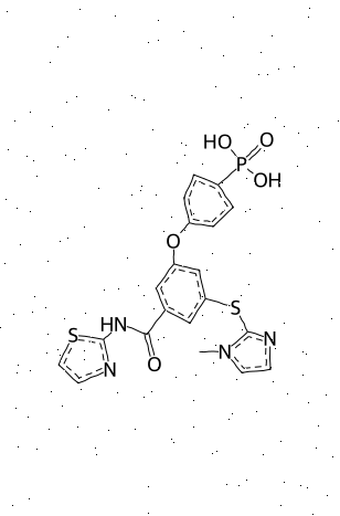 Cn1ccnc1Sc1cc(Oc2ccc(P(=O)(O)O)cc2)cc(C(=O)Nc2nccs2)c1